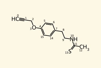 C#CCOc1ccc(CCNC(C)=S)cc1